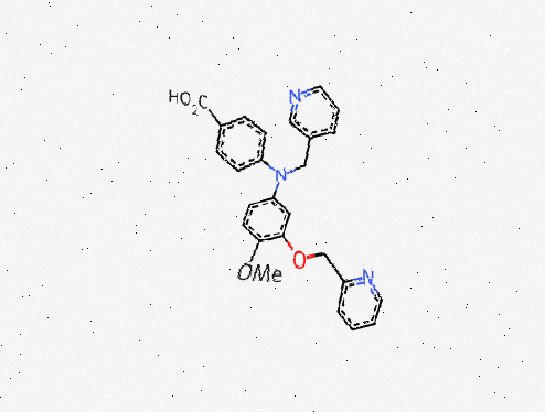 COc1ccc(N(Cc2cccnc2)c2ccc(C(=O)O)cc2)cc1OCc1ccccn1